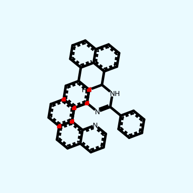 c1ccc(C2=NC(c3ccccc3)NC(c3cccc4cccc(-c5ccc(-c6cccc7cccnc67)cc5)c34)N2)cc1